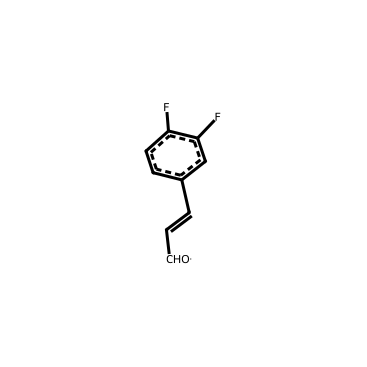 O=[C]C=Cc1ccc(F)c(F)c1